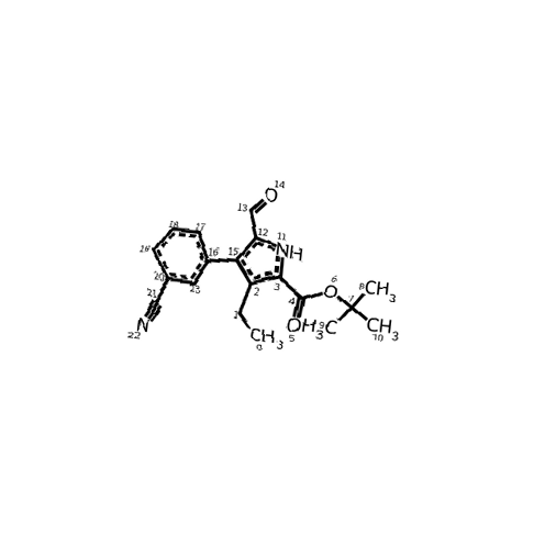 CCc1c(C(=O)OC(C)(C)C)[nH]c(C=O)c1-c1cccc(C#N)c1